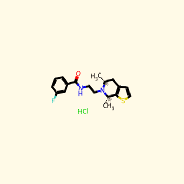 C[C@@H]1Cc2ccsc2[C@H](C)N1CCNC(=O)c1cccc(F)c1.Cl